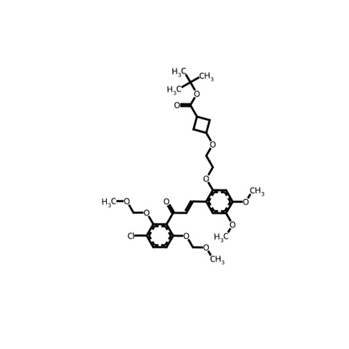 COCOc1ccc(Cl)c(OCOC)c1C(=O)C=Cc1cc(OC)c(OC)cc1OCCOC1CC(C(=O)OC(C)(C)C)C1